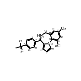 CC(F)(F)c1ccc(C2NCc3cc(Cl)cc(Cl)c3-n3cccc32)cc1